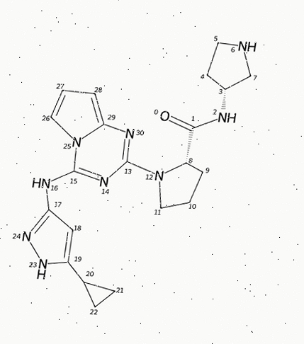 O=C(N[C@@H]1CCNC1)[C@@H]1CCCN1c1nc(Nc2cc(C3CC3)[nH]n2)n2cccc2n1